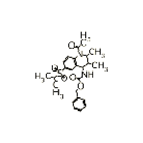 CC(=O)N1c2ccc(S(=O)(=O)C(C)C)cc2[C@H](NC(=O)OCc2ccccc2)C(C)[C@@H]1C